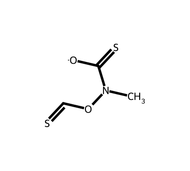 CN(OC=S)C([O])=S